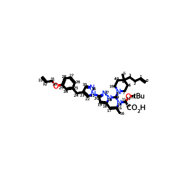 C=CCCC1(C)CCN(C2N(C(OC(C)(C)C)C(=O)O)C(C)=Cc3cc(-n4cc(Cc5cccc(OCC=C)c5)cn4)nn32)CC1